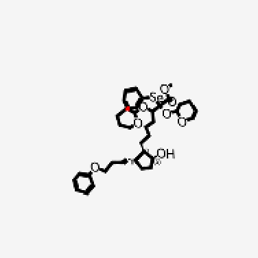 COC(=O)C(OC1CCCCO1)([Se]c1ccccc1)C(CCCC[C@H]1[C@@H](O)CC[C@@H]1C=CCCOc1ccccc1)OC1CCCCO1